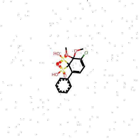 COC1(OC)C(Cl)=CC=C(c2ccccc2)C1(S(=O)(=O)O)S(=O)(=O)O